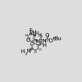 CC(C)(C)OC(=O)NC1=N[C@@]2(c3cc(N)ccc3F)COC[C@@H](F)[C@H]2CS1